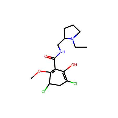 CCN1CCCC1CNC(=O)C1=C(OC)C(Cl)CC(Cl)=C1O